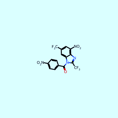 O=C(c1ccc([N+](=O)[O-])cc1)n1c(C(F)(F)F)nc2c([N+](=O)[O-])cc(C(F)(F)F)cc21